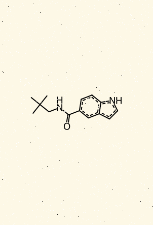 CC(C)(C)CNC(=O)c1ccc2[nH]ccc2c1